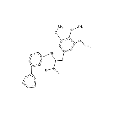 COc1cc(C[C@H](Nc2cccc(-c3ccccc3)c2)C(=O)O)cc(OC)c1OC